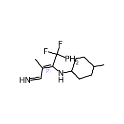 C/C(C=N)=C(/NC1CCC(C)CC1)C(F)(F)P